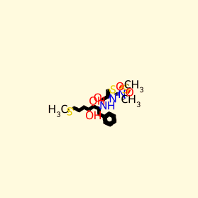 CSCCCC(O)C(O)C(Cc1ccccc1)NC(=O)c1csc(N(C)S(C)(=O)=O)n1